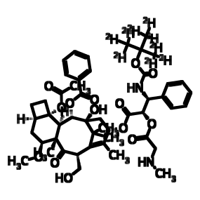 [2H]C([2H])([2H])C(OC(=O)N[C@@H](c1ccccc1)[C@@H](OC(=O)CNC)C(=O)O[C@H]1C[C@@]2(O)[C@@H](OC(=O)c3ccccc3)[C@@H]3[C@]4(OC(C)=O)CC[C@@H]4C[C@H](OC)[C@@]3(C)C(=O)[C@H](CO)C(=C1C)C2(C)C)(C([2H])([2H])[2H])C([2H])([2H])[2H]